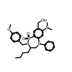 CCCCC1CN(c2ccccc2)c2cc(N(C)C)c(CO)cc2S(=O)(=O)N1Cc1ccc(OC)cc1